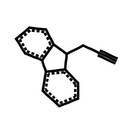 C#CCC1c2ccccc2-c2ccccc21